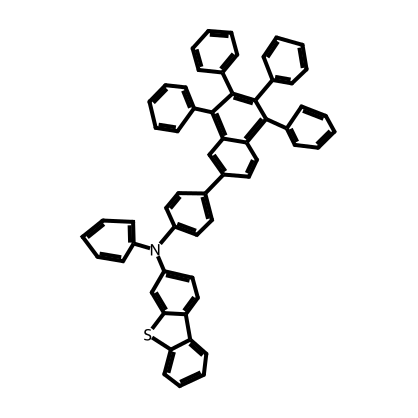 c1ccc(-c2c(-c3ccccc3)c(-c3ccccc3)c3cc(-c4ccc(N(c5ccccc5)c5ccc6c(c5)sc5ccccc56)cc4)ccc3c2-c2ccccc2)cc1